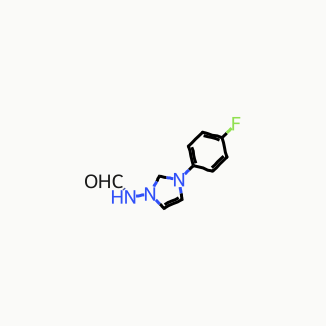 O=CNN1C=CN(c2ccc(F)cc2)C1